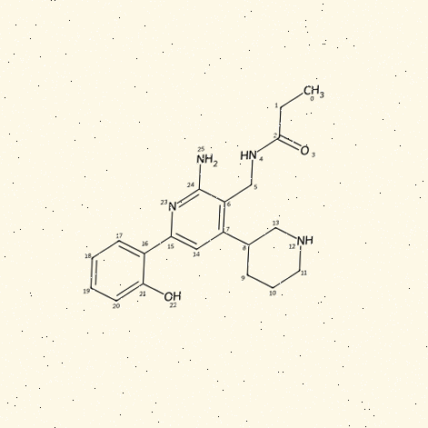 CCC(=O)NCc1c(C2CCCNC2)cc(-c2ccccc2O)nc1N